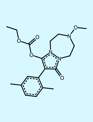 CCOC(=O)Oc1c(-c2cc(C)ccc2C)c(=O)n2n1CCN(OC)CC2